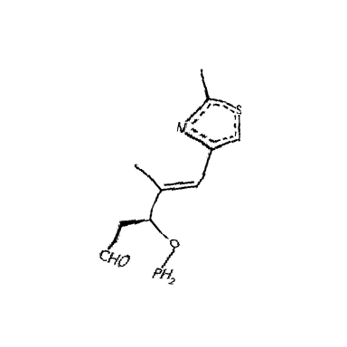 C/C(=C\c1csc(C)n1)[C@H](CC=O)OP